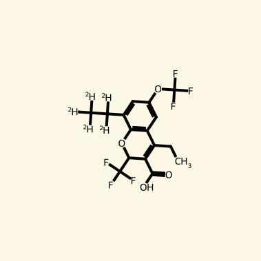 [2H]C([2H])([2H])C([2H])([2H])c1cc(OC(F)(F)F)cc2c1OC(C(F)(F)F)C(C(=O)O)=C2CC